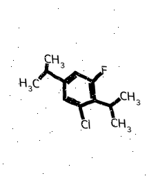 CC(C)c1cc(F)c(C(C)C)c(Cl)c1